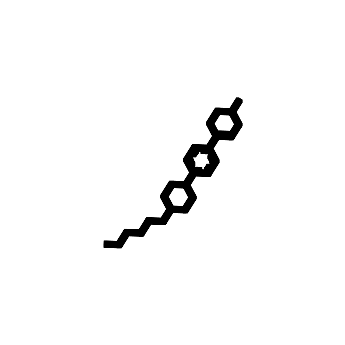 CCCCCCC1CCC(c2ccc(C3=CCC(C)CC3)cc2)CC1